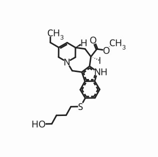 CCC1=C[C@H]2CN(C1)Cc1c([nH]c3ccc(SCCCCO)cc13)[C@](I)(C(=O)OC)C2